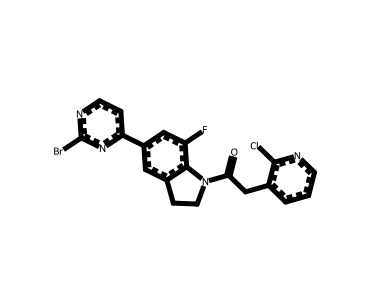 O=C(Cc1cccnc1Cl)N1CCc2cc(-c3ccnc(Br)n3)cc(F)c21